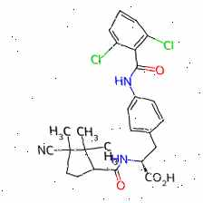 CC1(C#N)CCC(C(=O)N[C@@H](Cc2ccc(NC(=O)c3c(Cl)cccc3Cl)cc2)C(=O)O)C1(C)C